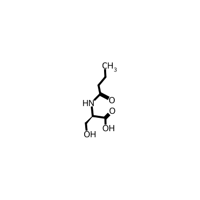 CCCC(=O)N[C@H](CO)C(=O)O